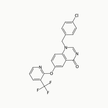 O=c1ncn(Cc2ccc(Cl)cc2)c2ccc(Oc3ncccc3C(F)(F)F)cc12